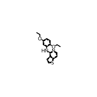 CCOc1ccc(OCC)c(Nc2nccc3sccc23)c1